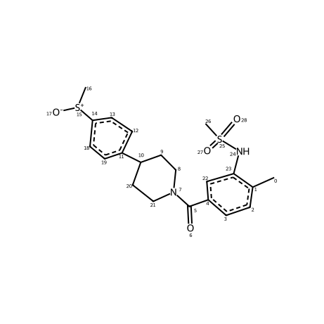 Cc1ccc(C(=O)N2CCC(c3ccc([S+](C)[O-])cc3)CC2)cc1NS(C)(=O)=O